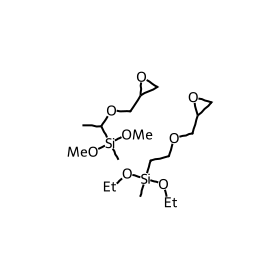 CCO[Si](C)(CCOCC1CO1)OCC.CO[Si](C)(OC)C(C)OCC1CO1